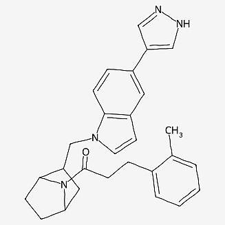 Cc1ccccc1CCC(=O)N1C2CCC1C(Cn1ccc3cc(-c4cn[nH]c4)ccc31)C2